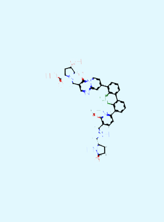 COc1nc(-c2cccc(-c3cccc(-c4ccn5c(=O)c(CN6C[C@@H](O)C[C@H]6C(=O)O)cnc5c4)c3Cl)c2Cl)ccc1CNC[C@H]1CCC(=O)N1